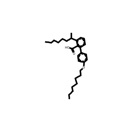 CCCCCCCCOc1ccc(-c2cccc(C(C)CCCCCC)c2C(=O)O)cc1